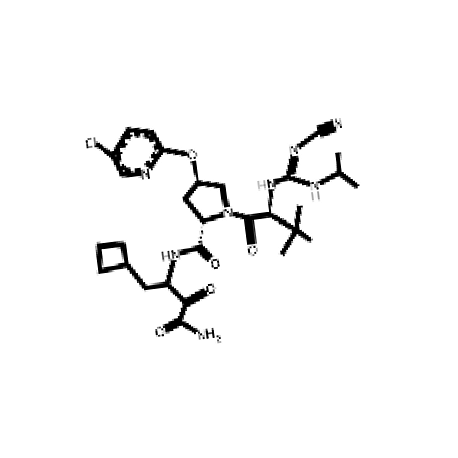 CC(C)N/C(=N\C#N)N[C@H](C(=O)N1C[C@H](Oc2ccc(Cl)cn2)C[C@H]1C(=O)NC(CC1CCC1)C(=O)C(N)=O)C(C)(C)C